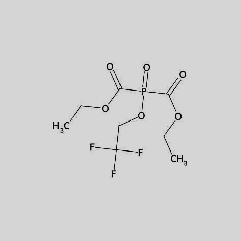 CCOC(=O)P(=O)(OCC(F)(F)F)C(=O)OCC